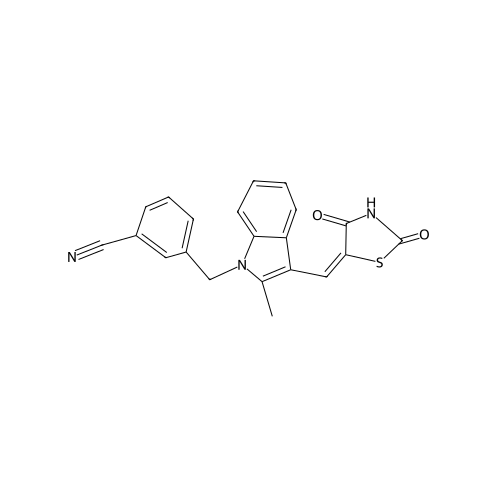 Cc1c(/C=C2/SC(=O)NC2=O)c2ccccc2n1Cc1cccc(C#N)c1